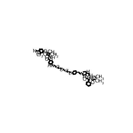 CN[C@@H](C)C(=O)N[C@H](C(=O)N1CC[C@@H]2CCN(CCc3ccc(OCCOCCOCCOCCNc4ccc(C(=O)N[C@H]5C(C)(C)[C@H](Oc6ccc(C#N)c(Cl)c6)C5(C)C)cc4)cc3)C[C@@H]21)C1CCCCC1